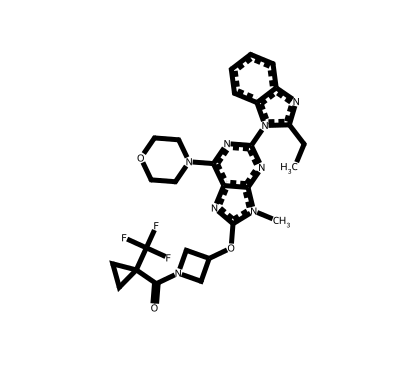 CCc1nc2ccccc2n1-c1nc(N2CCOCC2)c2nc(OC3CN(C(=O)C4(C(F)(F)F)CC4)C3)n(C)c2n1